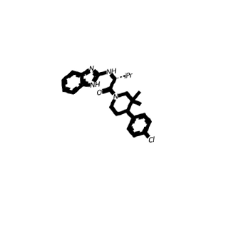 CC(C)[C@@H](Nc1nc2ccccc2[nH]1)C(=O)N1CCC(c2ccc(Cl)cc2)C(C)(C)C1